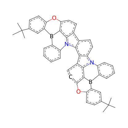 CC(C)(C)c1ccc2c(c1)B1c3ccccc3-n3c4ccc5c6ccc7c8c6n(c5c4c4ccc(c1c43)O2)-c1ccccc1B8c1cc(C(C)(C)C)ccc1O7